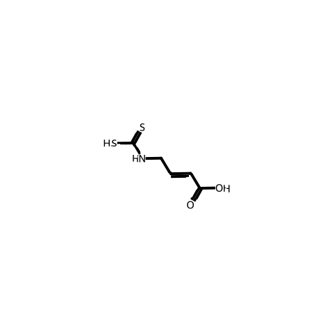 O=C(O)C=CCNC(=S)S